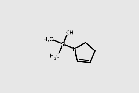 C[Si](C)(C)N1C=CCC1